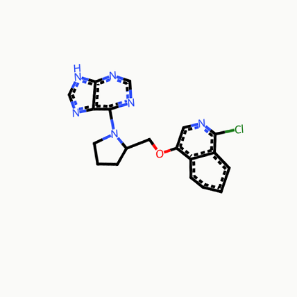 Clc1ncc(OCC2CCCN2c2ncnc3[nH]cnc23)c2ccccc12